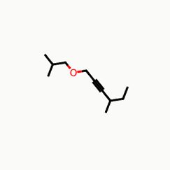 CCC(C)C#CCOCC(C)C